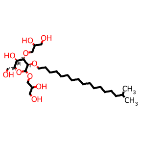 CC(C)CCCCCCCCCCCCCCCO[C@H]1C(OCC(O)CO)O[C@H](CO)[C@@H](O)[C@@H]1OCC(O)CO